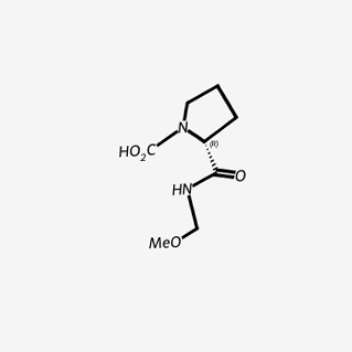 COCNC(=O)[C@H]1CCCN1C(=O)O